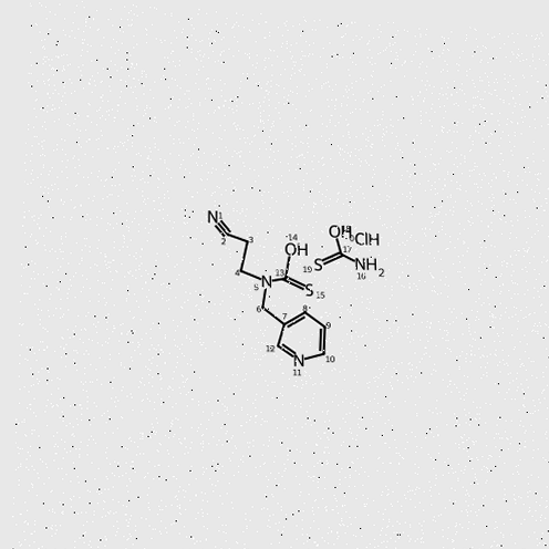 Cl.N#CCCN(Cc1cccnc1)C(O)=S.NC(O)=S